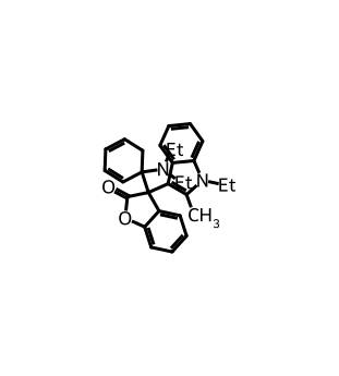 CCN(CC)C1(C2(c3c(C)n(CC)c4ccccc34)C(=O)Oc3ccccc32)C=CC=CC1